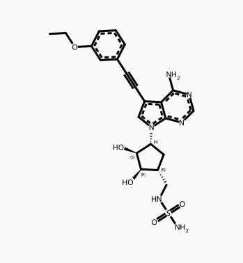 CCOc1cccc(C#Cc2cn([C@@H]3C[C@H](CNS(N)(=O)=O)[C@@H](O)[C@H]3O)c3ncnc(N)c23)c1